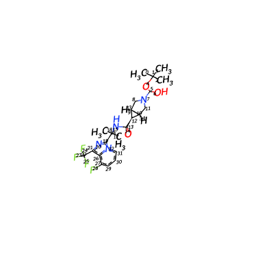 CC(C)(C)OC(O)N1C[C@@H]2[C@H](C1)[C@H]2C(=O)NC(C)(C)c1nc(C(F)(F)F)c2c(F)cccn12